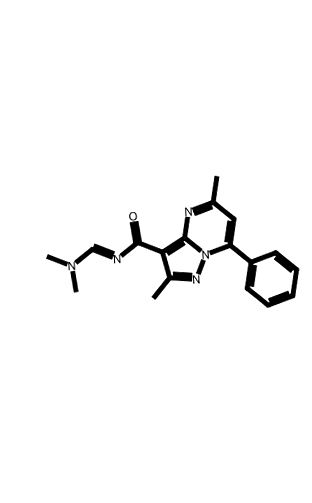 Cc1cc(-c2ccccc2)n2nc(C)c(C(=O)N=CN(C)C)c2n1